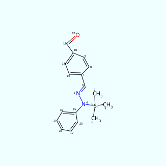 C[Si](C)(C)N(N=Cc1ccc(C=O)cc1)c1ccccc1